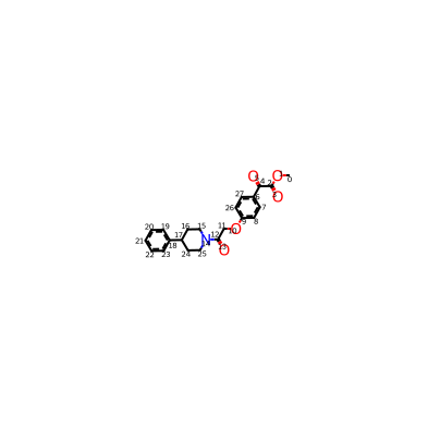 COC(=O)C(=O)c1ccc(OCC(=O)N2CCC(c3ccccc3)CC2)cc1